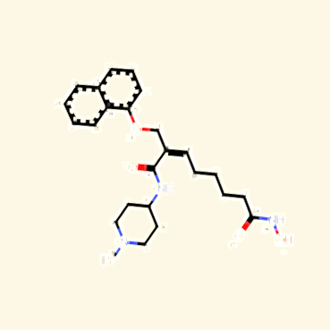 CC(C)N1CCC(NC(=O)C(=CCCCCC(=O)NO)COc2cccc3ccccc23)CC1